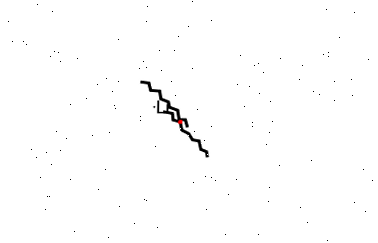 CCCCCCCCCCC.CCCCCCCCCCC.[Li]